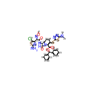 CO/N=C(\C(=O)NC1C(=O)N2C(C(=O)OC(c3ccccc3)c3ccccc3)=C(Sc3nnc(N(C)C)s3)CCC12)c1nc(N)sc1Cl